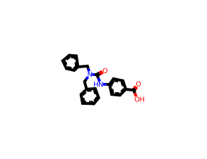 O=C(O)c1ccc(NC(=O)N(Cc2ccccc2)Cc2ccccc2)cc1